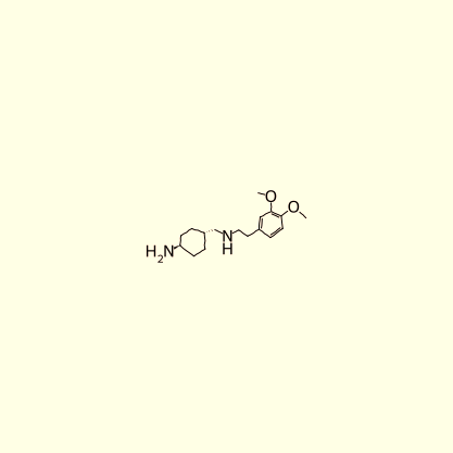 COc1ccc(CCNC[C@H]2CC[C@H](N)CC2)cc1OC